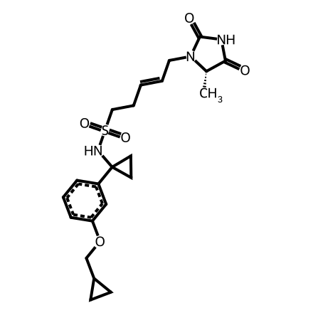 C[C@H]1C(=O)NC(=O)N1C/C=C/CCS(=O)(=O)NC1(c2cccc(OCC3CC3)c2)CC1